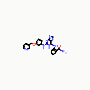 NC(=O)C1C2C=CC(C2)C1Nc1[nH]c(Nc2cccc(OCc3cccnc3)c2)nc2ncnc1-2